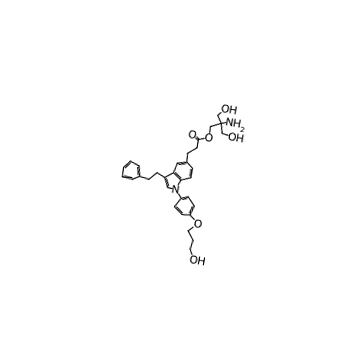 NC(CO)(CO)COC(=O)CCc1ccc2c(c1)c(CCc1ccccc1)cn2-c1ccc(OCCCO)cc1